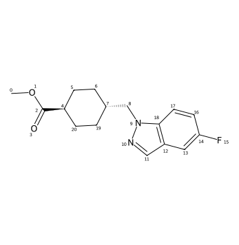 COC(=O)[C@H]1CC[C@H](Cn2ncc3cc(F)ccc32)CC1